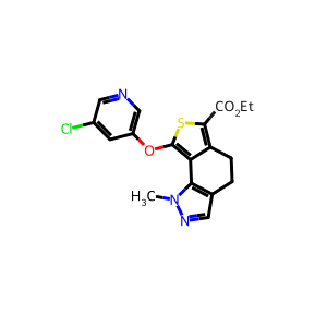 CCOC(=O)c1sc(Oc2cncc(Cl)c2)c2c1CCc1cnn(C)c1-2